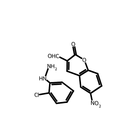 NNc1ccccc1Cl.O=Cc1cc2cc([N+](=O)[O-])ccc2oc1=O